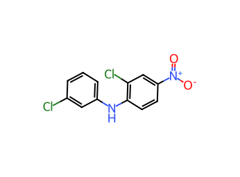 O=[N+]([O-])c1ccc(Nc2cccc(Cl)c2)c(Cl)c1